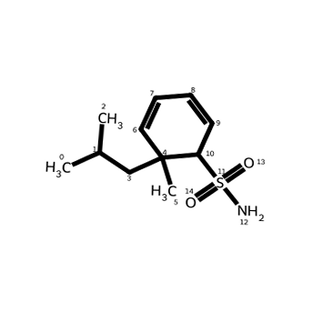 CC(C)CC1(C)C=CC=CC1S(N)(=O)=O